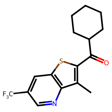 Cc1c(C(=O)C2CCCCC2)sc2cc(C(F)(F)F)cnc12